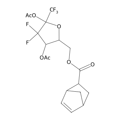 CC(=O)OC1C(COC(=O)C2CC3C=CC2C3)OC(OC(C)=O)(C(F)(F)F)C1(F)F